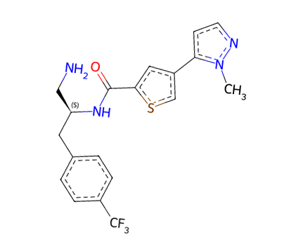 Cn1nccc1-c1csc(C(=O)N[C@H](CN)Cc2ccc(C(F)(F)F)cc2)c1